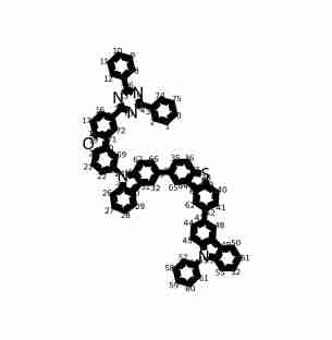 c1ccc(-c2nc(-c3ccccc3)nc(-c3ccc4oc5ccc(-n6c7ccccc7c7cc(-c8ccc9sc%10ccc(-c%11ccc%12c(c%11)c%11ccccc%11n%12-c%11ccccc%11)cc%10c9c8)ccc76)cc5c4c3)n2)cc1